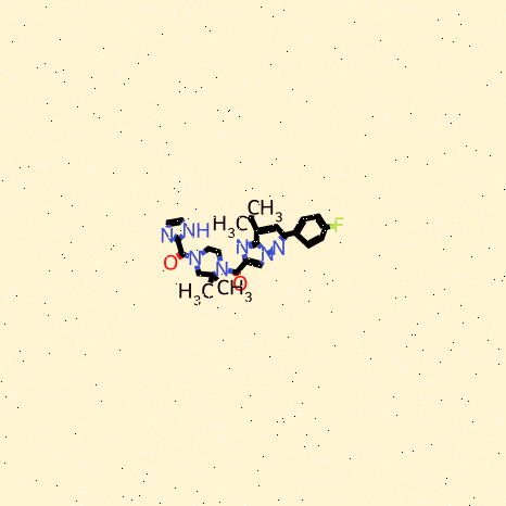 CC(C)c1cc(-c2ccc(F)cc2)nn2cc(C(=O)N3CCN(C(=O)c4ncc[nH]4)CC3(C)C)nc12